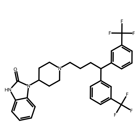 O=c1[nH]c2ccccc2n1C1CCN(CCCC(c2cccc(C(F)(F)F)c2)c2cccc(C(F)(F)F)c2)CC1